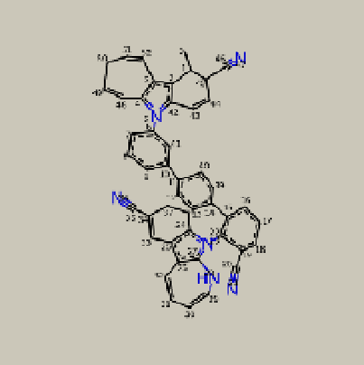 CC1c2c3c(n(-c4cccc(-c5ccc(-c6cccc(C#N)c6-n6c7c(c8c6NC=CC=C8)C=C(C#N)CC7)cc5)c4)c2C=CC1C#N)C=CCC=C3